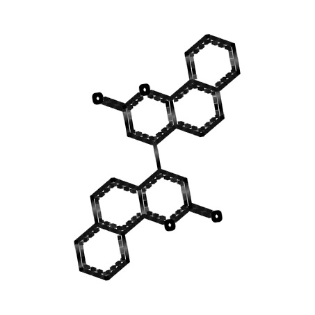 O=c1cc(-c2cc(=O)oc3c2ccc2ccccc23)c2ccc3ccccc3c2o1